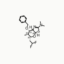 C[C@H]1[C@H](OCc2ccccc2)[C@H]2N=C(N(C)C)S[C@H]2O[C@@H]1CC(F)F